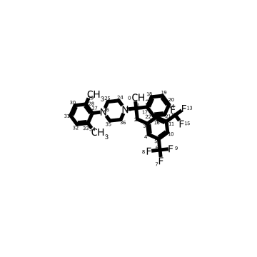 [CH2]C(Cc1cc(C(F)(F)F)cc(C(F)(F)F)c1)(c1ccccc1)N1CCN(c2c(C)cccc2C)CC1